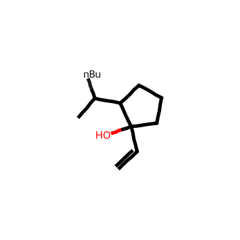 C=CC1(O)CCCC1C(C)CCCC